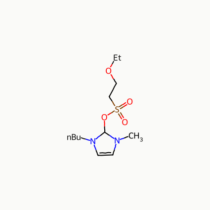 CCCCN1C=CN(C)C1OS(=O)(=O)CCOCC